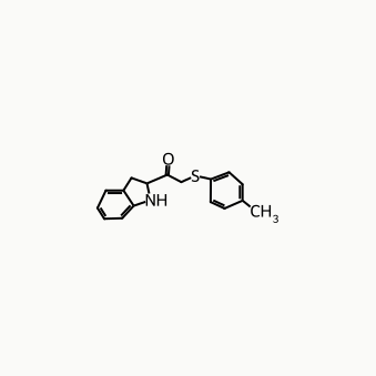 Cc1ccc(SCC(=O)C2Cc3ccccc3N2)cc1